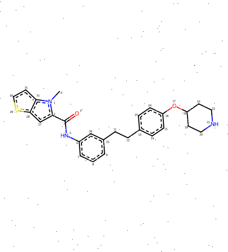 Cn1c(C(=O)Nc2cccc(CCc3ccc(OC4CCNCC4)cc3)c2)cc2sccc21